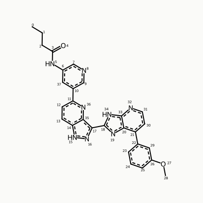 CCCC(=O)Nc1cncc(-c2ccc3[nH]nc(-c4nc5c(-c6cccc(OC)c6)ccnc5[nH]4)c3n2)c1